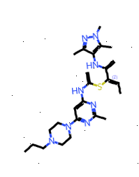 C=C(Nc1cc(N2CCN(CCC)CC2)nc(C)n1)S/C(=C\C)C(=C)Nc1c(C)nn(C)c1C